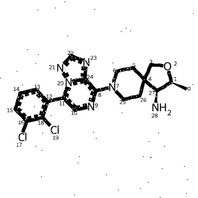 C[C@@H]1OCC2(CCN(c3ncc(-c4cccc(Cl)c4Cl)n4ncnc34)CC2)[C@@H]1N